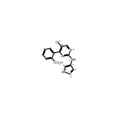 O=C(O)c1ccccc1-c1nc(Nc2cn[nH]c2)ncc1Cl